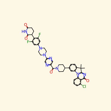 CC1(C)c2ccc(C3CCN(C(=O)c4cnc(N5CCN(c6cc(F)c(C7CCC(=O)NC7=O)c(F)c6)CC5)cn4)CC3)cc2-n2c1nc(=O)c1c(Cl)cccc12